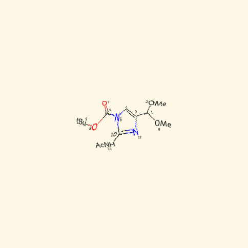 COC(OC)c1cn(C(=O)OC(C)(C)C)c(NC(C)=O)n1